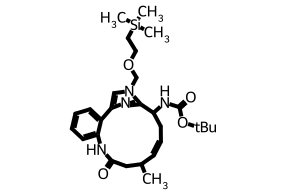 CC1C=CCC(NC(=O)OC(C)(C)C)c2nc(cn2COCC[Si](C)(C)C)-c2ccccc2NC(=O)C1